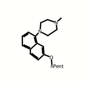 [CH2]CCCCOc1ccc2cccc(N3CCN(C)CC3)c2c1